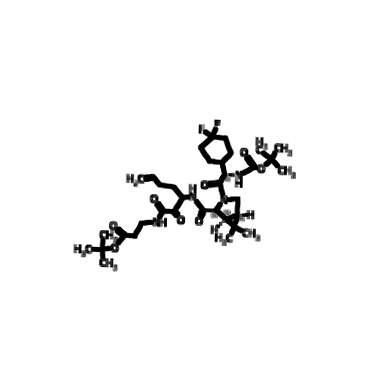 C=CCCC(NC(=O)[C@@H]1[C@H]2[C@@H](CN1C(=O)[C@@H](NC(=O)OC(C)(C)C)C1CCC(F)(F)CC1)C2(C)C)C(=O)C(=O)NCCC(=O)OC(C)(C)C